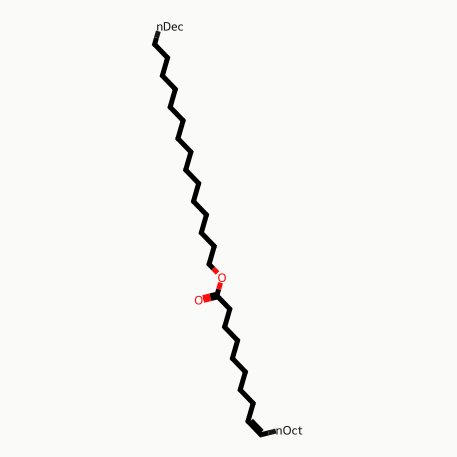 CCCCCCCC/C=C\CCCCCCCC(=O)OCCCCCCCCCCCCCCCCCCCCCCCCC